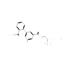 NC(=O)c1ccccc1-c1cc(F)cc(C(=O)NC[C@@H](N)C(=O)O)c1